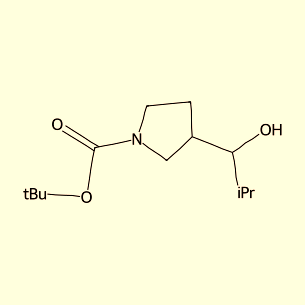 CC(C)C(O)C1CCN(C(=O)OC(C)(C)C)C1